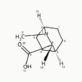 CN1[C@H]2CC[C@H](CC2)[C@@H]1C(=O)O